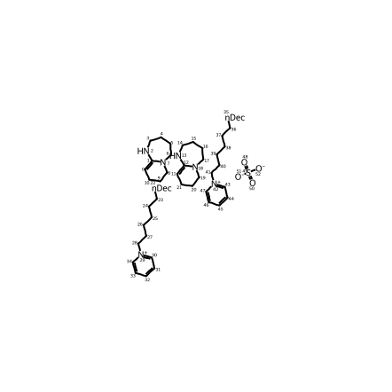 C1=C2NCCCCN2CCC1.C1=C2NCCCCN2CCC1.CCCCCCCCCCCCCCCC[n+]1ccccc1.CCCCCCCCCCCCCCCC[n+]1ccccc1.O=S(=O)([O-])[O-]